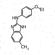 CCOc1ccc(Nc2nc3ccc(C)cc3[nH]2)cc1